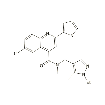 CCn1ncc(CN(C)C(=O)c2cc(-c3ccc[nH]3)nc3ccc(Cl)cc23)c1C